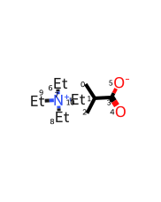 CC(C)C(=O)[O-].CC[N+](CC)(CC)CC